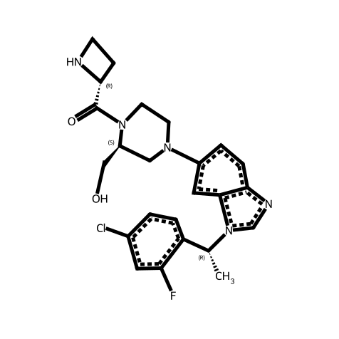 C[C@H](c1ccc(Cl)cc1F)n1cnc2ccc(N3CCN(C(=O)[C@H]4CCN4)[C@H](CO)C3)cc21